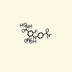 CN(C)C(=O)c1ccc(Nc2c(F)cc(C(=O)NO)cc2[N+](=O)[O-])cc1